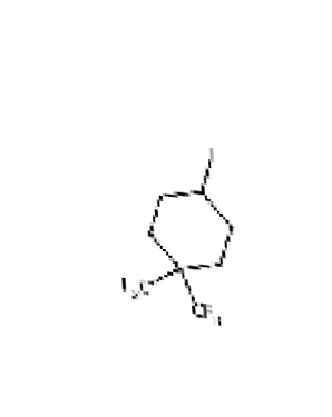 FC(F)(F)C1(C(F)(F)F)CCC(I)CC1